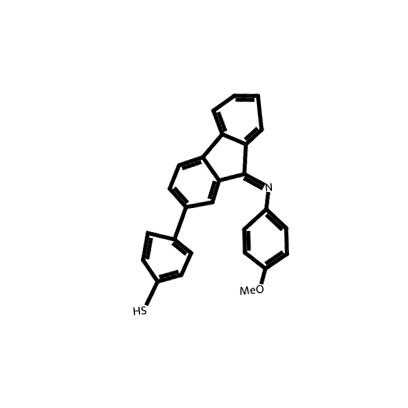 COc1ccc(N=C2c3ccccc3-c3ccc(-c4ccc(S)cc4)cc32)cc1